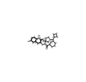 Cc1ccc2[nH]c(=O)c(CN(C(=O)C3CCCCC3)C3(C)CCN(CC4CCC4)C3)cc2c1